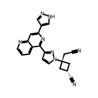 N#CC[C@]1(n2ccc(-c3nc(-c4cn[nH]c4)cc4ncccc34)n2)C[C@@H](C#N)C1